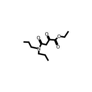 CCCN(CCC)C(=O)CC(=O)C(=O)OCC